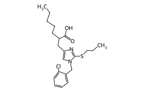 CCCCCC(Cc1cn(Cc2ccccc2Cl)c(SCCC)n1)C(=O)O